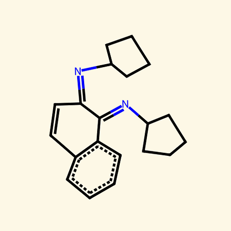 C1=Cc2ccccc2C(=NC2CCCC2)C1=NC1CCCC1